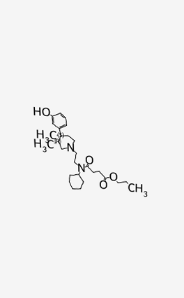 CCCOC(=O)CCC(=O)N(CCN1CC[C@](C)(c2cccc(O)c2)[C@@H](C)C1)C1CCCCC1